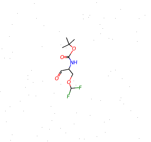 CC(C)(C)OC(=O)NC(C=O)COC(F)F